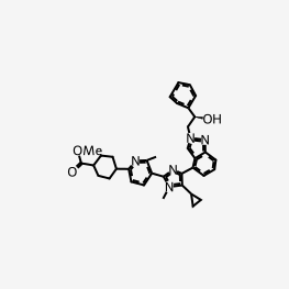 COC(=O)C1CCC(c2ccc(-c3nc(-c4cccc5nn(C[C@H](O)c6ccccc6)cc45)c(C4CC4)n3C)c(C)n2)CC1